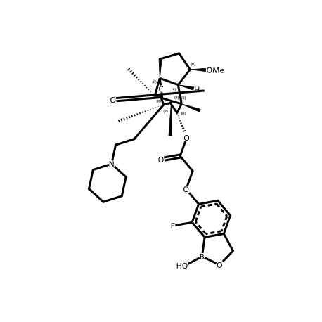 CO[C@@H]1CC[C@@]23CC[C@@H](C)[C@@](C)([C@H](OC(=O)COc4ccc5c(c4F)B(O)OC5)C[C@@](C)(CCN4CCCCC4)C(=O)[C@@H]2C)[C@@H]13